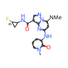 CNc1cc(Nc2cccn(C)c2=O)nc2c(C(=O)NC3C[C@H]3F)cnn12